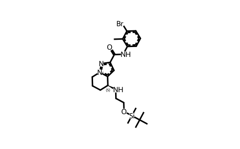 Cc1c(Br)cccc1NC(=O)c1cc2n(n1)CCC[C@@H]2NCCO[Si](C)(C)C(C)(C)C